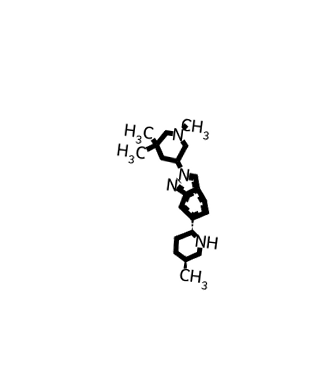 C[C@H]1CC[C@H](c2ccc3cn(C4CN(C)CC(C)(C)C4)nc3c2)NC1